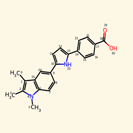 Cc1c(C)n(C)c2ccc(-c3ccc(-c4ccc(C(=O)O)cc4)[nH]3)cc12